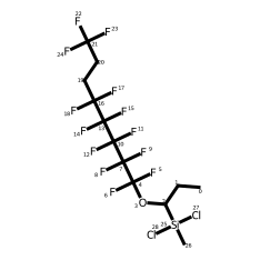 CCC(OC(F)(F)C(F)(F)C(F)(F)C(F)(F)C(F)(F)CCC(F)(F)F)[Si](C)(Cl)Cl